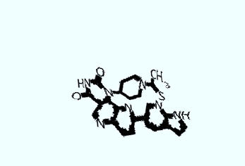 CC(=S)N1CCC(n2c(=O)[nH]c(=O)c3cnc4ccc(-c5cnc6[nH]ccc6c5)nc4c32)CC1